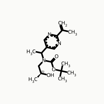 C=C(C)c1ncc(C(C)N(C[C@H](C)O)C(=O)OC(C)(C)C)cn1